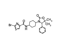 CC1(C)OC(=O)N(C2CCC(NC(=O)c3csc(Br)n3)CC2)C1c1ccccc1